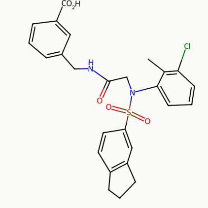 Cc1c(Cl)cccc1N(CC(=O)NCc1cccc(C(=O)O)c1)S(=O)(=O)c1ccc2c(c1)CCC2